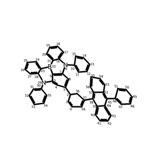 C1=CC(c2cc3c4c(c2)N(c2ccccc2)c2ccccc2B4c2ccccc2N3c2ccccc2)CC(c2c3ccccc3c(-c3ccccc3)c3ccccc23)=C1